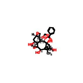 CC1=C2[C@@H](O)C(=O)[C@@]3(C)[C@H]([C@H](OC(=O)c4ccccc4)C(O)(CC1O)C2(C)C)[C@]1(OC=O)CO[C@@H]1C[C@@H]3O